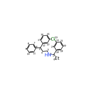 CCC(NCCC(c1ccccc1)c1ccccc1)c1cccc(Cl)c1